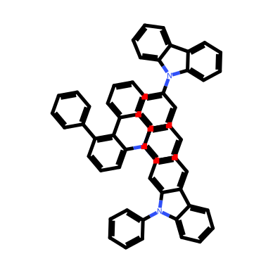 c1ccc(-c2ccccc2-c2c(-c3ccccc3)cccc2N(c2ccc(-n3c4ccccc4c4ccccc43)cc2)c2ccc3c4ccccc4n(-c4ccccc4)c3c2)cc1